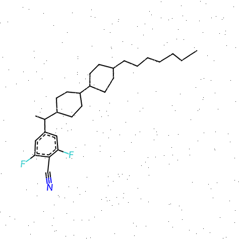 CCCCCCCC1CCC(C2CCC(C(C)c3cc(F)c(C#N)c(F)c3)CC2)CC1